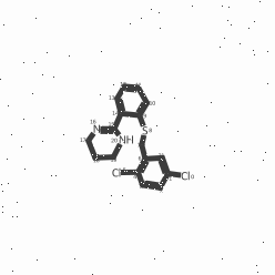 Clc1ccc(Cl)c(CSc2ccccc2C2=NCCCN2)c1